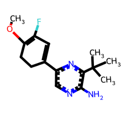 COC1=C(F)C=C(c2cnc(N)c(C(C)(C)C)n2)CC1